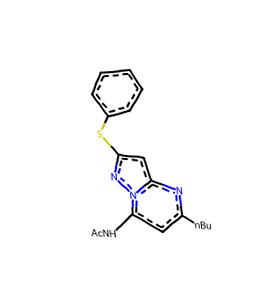 CCCCc1cc(NC(C)=O)n2nc(Sc3ccccc3)cc2n1